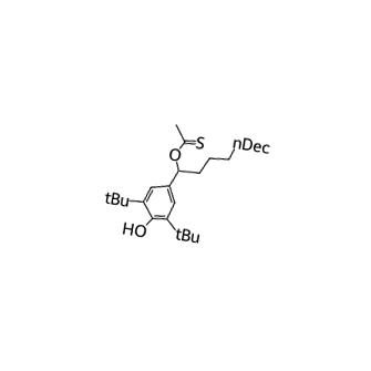 CCCCCCCCCCCCCC(OC(C)=S)c1cc(C(C)(C)C)c(O)c(C(C)(C)C)c1